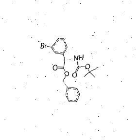 CC(C)(C)OC(=O)N[C@H](C(=O)OCc1ccccc1)c1cccc(Br)c1